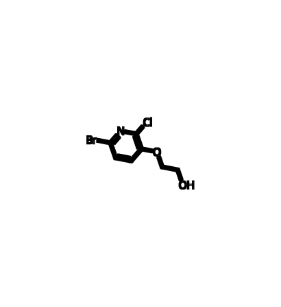 OCCOc1ccc(Br)nc1Cl